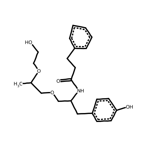 CC(COCC(Cc1ccc(O)cc1)NC(=O)CCc1ccccc1)OCCO